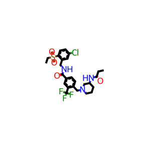 CCC(=O)NC1CCCN(Cc2ccc(C(=O)NCc3cc(Cl)ccc3S(=O)(=O)CC)cc2C(F)(F)F)C1